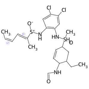 C/C=C\C=C(/C)[S+]([O-])Nc1cc(Cl)c(Cl)cc1N[SH](C)(=O)C1C=CC(NC=O)C(CC)C1